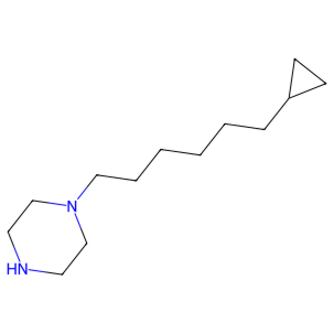 C(CCCN1CCNCC1)CCC1CC1